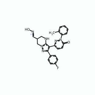 Cc1ccccc1-n1nc(-c2c(-c3ccc(F)cc3)nn3c2NCC(/C=N/O)C3)ccc1=O